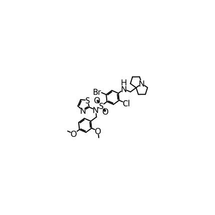 COc1ccc(CN(c2nccs2)S(=O)(=O)c2cc(Cl)c(NCC34CCCN3CCC4)cc2Br)c(OC)c1